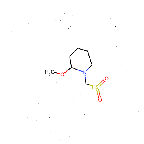 COC1CCCCN1C[SH](=O)=O